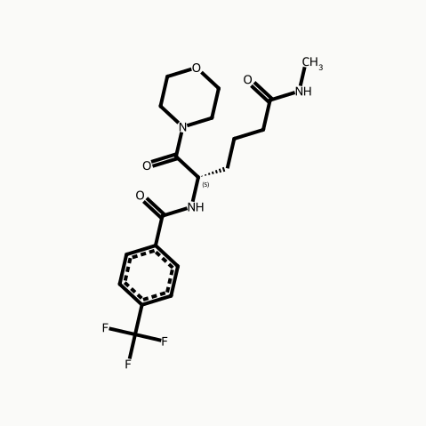 CNC(=O)CCC[C@H](NC(=O)c1ccc(C(F)(F)F)cc1)C(=O)N1CCOCC1